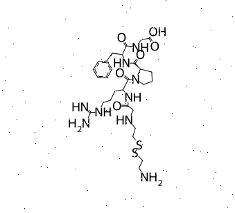 N=C(N)NCCCC(NC(=O)CNCCSSCCN)C(=O)N1CCC[C@@H]1C(=O)NC(Cc1ccccc1)C(=O)NCC(=O)O